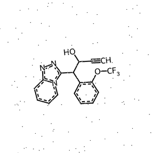 C#CC(O)C(c1ccccc1OC(F)(F)F)c1nnc2ccccn12